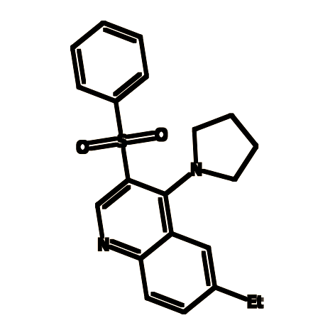 CCc1ccc2ncc(S(=O)(=O)c3ccccc3)c(N3CCCC3)c2c1